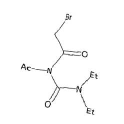 CCN(CC)C(=O)N(C(C)=O)C(=O)CBr